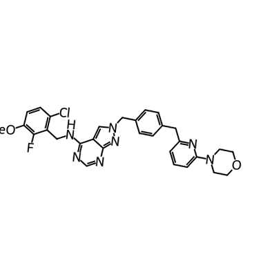 COc1ccc(Cl)c(CNc2ncnc3nn(Cc4ccc(Cc5cccc(N6CCOCC6)n5)cc4)cc23)c1F